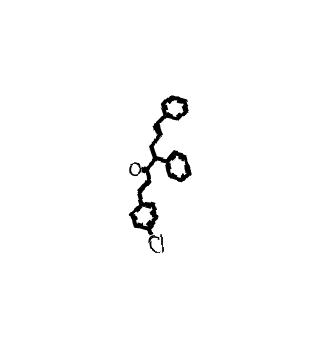 O=C(/C=C/c1ccc(Cl)cc1)C(C/C=C/c1ccccc1)c1ccccc1